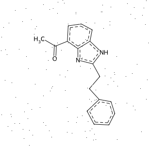 CC(=O)c1cccc2[nH]c(CCc3ccccc3)nc12